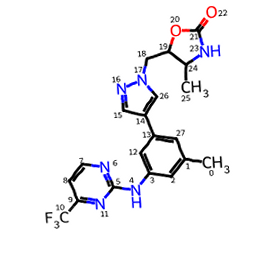 Cc1cc(Nc2nccc(C(F)(F)F)n2)cc(-c2cnn(CC3OC(=O)NC3C)c2)c1